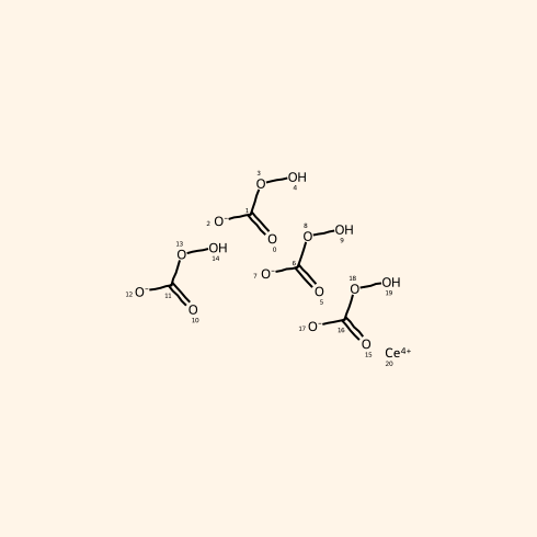 O=C([O-])OO.O=C([O-])OO.O=C([O-])OO.O=C([O-])OO.[Ce+4]